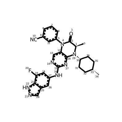 C[C@@H]1C(=O)N(c2cccc(C#N)c2)c2cnc(Nc3cc(F)c4[nH]ncc4c3)nc2N1[C@H]1CC[C@@H](C)CC1